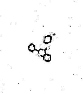 O=C1CC(c2ccccc2)Oc2ccccc21.[Fe].c1ccncc1